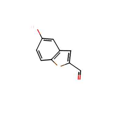 O=Cc1cc2cc(O)ccc2s1